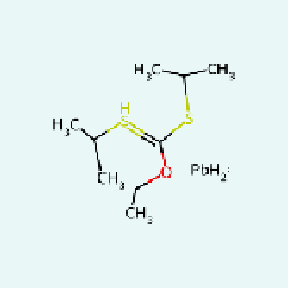 CCOC(SC(C)C)=[SH]C(C)C.[PbH2]